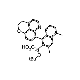 Cc1cc2c(C)cccc2c(-c2ccc3c4c(ccnc24)CCO3)c1[C@H](OC(C)(C)C)C(=O)O